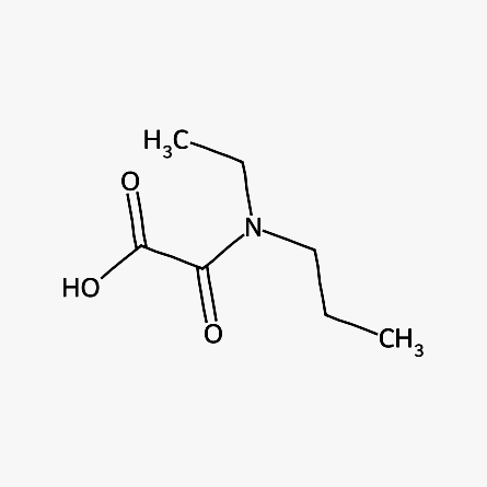 CCCN(CC)C(=O)C(=O)O